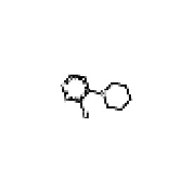 Clc1nnccc1N1CC[CH]CC1